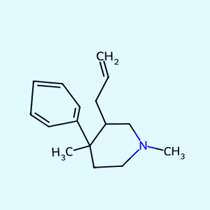 C=CCC1CN(C)CCC1(C)c1ccccc1